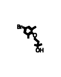 Cc1cc(Br)cc(C)c1OCCC(C)(C)O